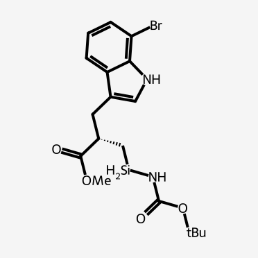 COC(=O)[C@@H](C[SiH2]NC(=O)OC(C)(C)C)Cc1c[nH]c2c(Br)cccc12